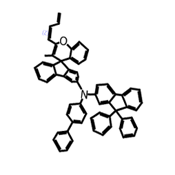 C=C/C=C\C1=C(C)C2(c3ccccc3O1)c1ccccc1-c1cc(N(c3ccc(-c4ccccc4)cc3)c3ccc4c(c3)C(c3ccccc3)(c3ccccc3)c3ccccc3-4)ccc12